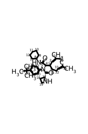 C/C1=C/C(C(C(=O)NC2CCCCC2)N(C(=O)[C@H]2CCN2)c2ccc(C(C)(C)C)cc2)CC/C=C(\C)CC1